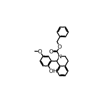 COc1ccc(O)c(C2c3ccccc3CCN2C(=O)OCc2ccccc2)c1